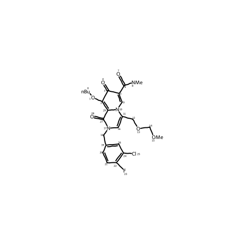 CCCCOc1c(=O)c(C(=O)NC)cn2c(COCOC)cn(Cc3ccc(F)c(Cl)c3)c(=O)c12